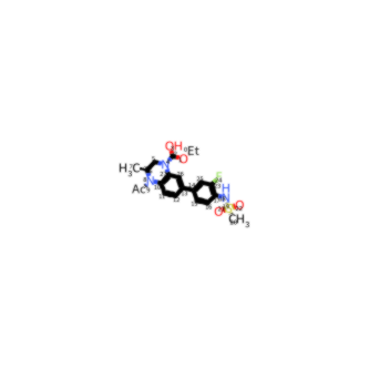 CCOC(O)N1C[C@H](C)N(C(C)=O)c2ccc(-c3ccc(NS(C)(=O)=O)c(F)c3)cc21